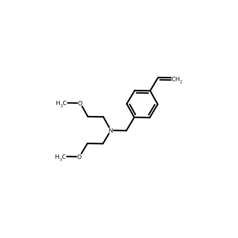 C=Cc1ccc(CN(CCOC)CCOC)cc1